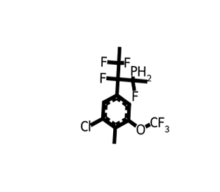 Cc1c(Cl)cc(C(F)(C(C)(F)F)C(C)(F)P)cc1OC(F)(F)F